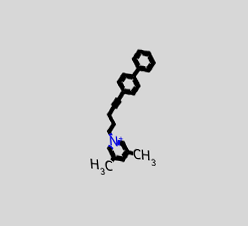 Cc1cc(C)c[n+](CCCC#Cc2ccc(-c3ccccc3)cc2)c1